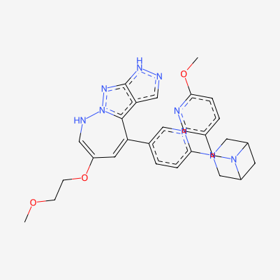 COCCOC1=CNn2nc3[nH]ncc3c2C(c2ccc(N3CC4CC(C3)N4Cc3ccc(OC)nc3)nc2)=C1